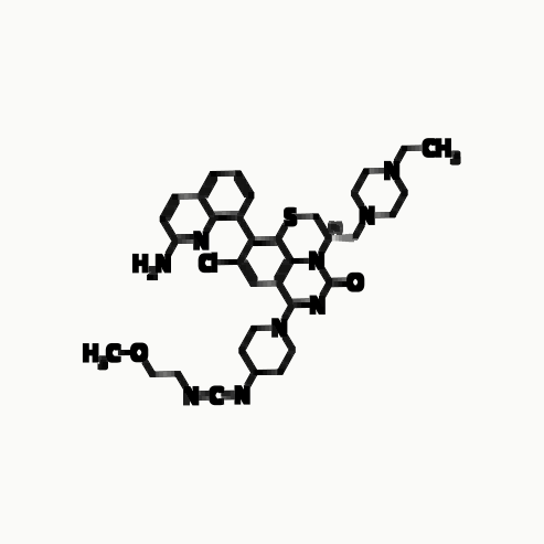 CCN1CCN(C[C@H]2CSc3c(-c4cccc5ccc(N)nc45)c(Cl)cc4c(N5CCC(N=C=NCCOC)CC5)nc(=O)n2c34)CC1